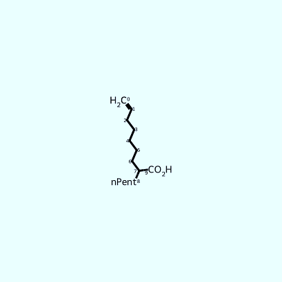 C=CCCCCCC(CCCCC)C(=O)O